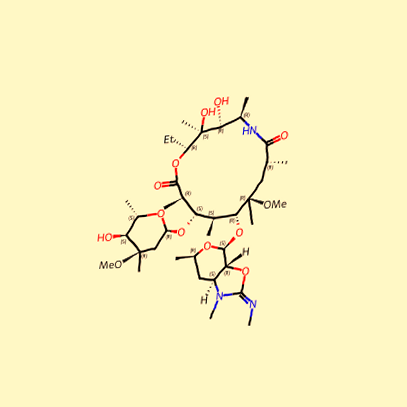 CC[C@H]1OC(=O)[C@H](C)[C@@H](O[C@H]2C[C@@](C)(OC)[C@@H](O)[C@H](C)O2)[C@H](C)[C@@H](O[C@@H]2O[C@H](C)C[C@H]3[C@H]2OC(=NC)N3C)[C@](C)(OC)C[C@@H](C)C(=O)N[C@H](C)[C@@H](O)[C@]1(C)O